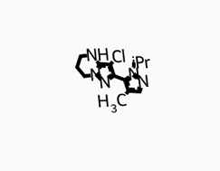 Cc1cnn(C(C)C)c1-c1nn2c(c1Cl)NCCC2